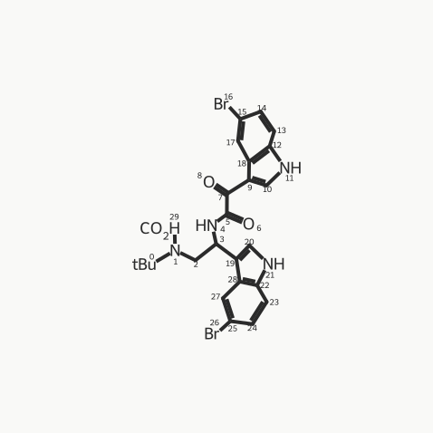 CC(C)(C)N(CC(NC(=O)C(=O)c1c[nH]c2ccc(Br)cc12)c1c[nH]c2ccc(Br)cc12)C(=O)O